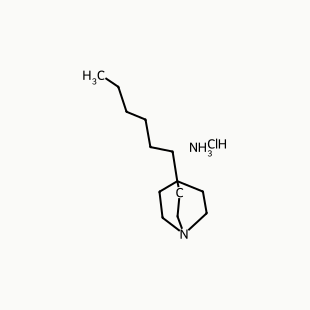 CCCCCCC12CCN(CC1)CC2.Cl.N